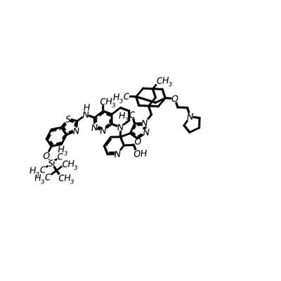 Cc1c(Nc2nc3cc(O[Si](C)(C)C(C)(C)C)ccc3s2)nnc2c1CCCN2C1(c2cnn(CC34CC5(C)CC(C)(C3)CC(OCCN3CCCC3)(C5)C4)c2C)C=CC=NC1C(=O)O